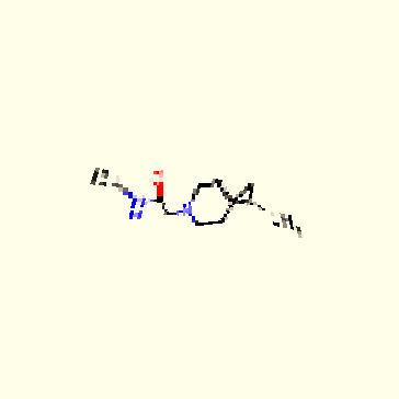 C[C@@H]1CC12CCN(CC(=O)NC(C)(C)C)CC2